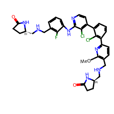 COc1nc(-c2cccc(-c3ccnc(Nc4cccc(CNC[C@@H]5CCC(=O)N5)c4F)c3Cl)c2Cl)ccc1CNC[C@H]1CCC(=O)N1